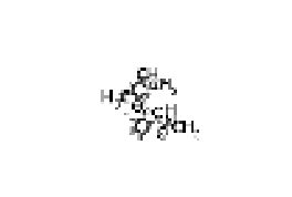 CNC(=O)C(=O)c1cccc(I)c1COc1cc(C)c(C)cc1C